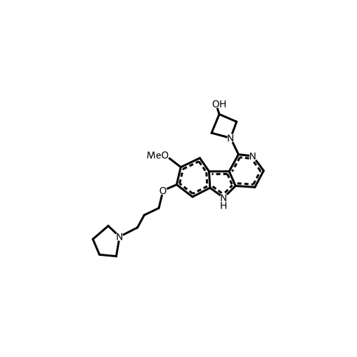 COc1cc2c(cc1OCCCN1CCCC1)[nH]c1ccnc(N3CC(O)C3)c12